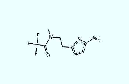 CN(CCc1ccc(N)s1)C(=O)C(F)(F)F